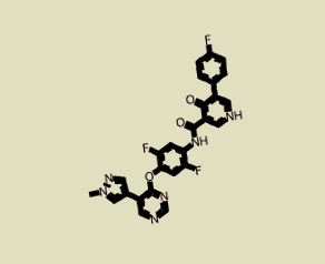 Cn1cc(-c2cncnc2Oc2cc(F)c(NC(=O)c3c[nH]cc(-c4ccc(F)cc4)c3=O)cc2F)cn1